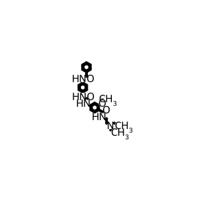 CCN(CC)CCNC(=O)c1ccc(NC(=O)Nc2ccc(NC(=O)c3ccccc3)cc2)cc1OC